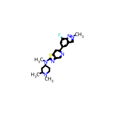 CC1CC(N(C)c2nc3cnc(-c4cc(F)c5nn(C)cc5c4)cc3s2)CCN1C